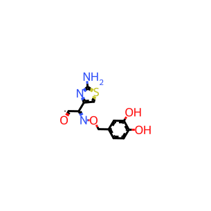 Nc1nc(/C([C]=O)=N\OCc2ccc(O)c(O)c2)cs1